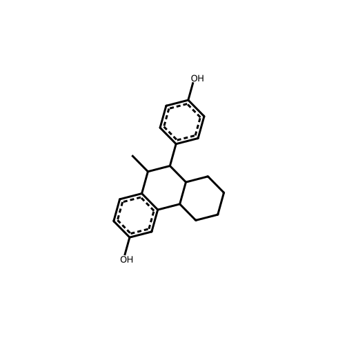 CC1c2ccc(O)cc2C2CCCCC2C1c1ccc(O)cc1